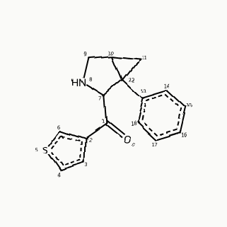 O=C(c1ccsc1)C1NCC2CC21c1ccccc1